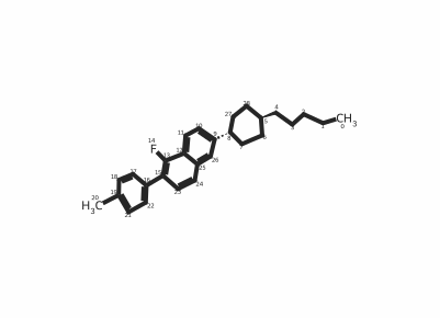 CCCCC[C@H]1CC[C@H](c2ccc3c(F)c(-c4ccc(C)cc4)ccc3c2)CC1